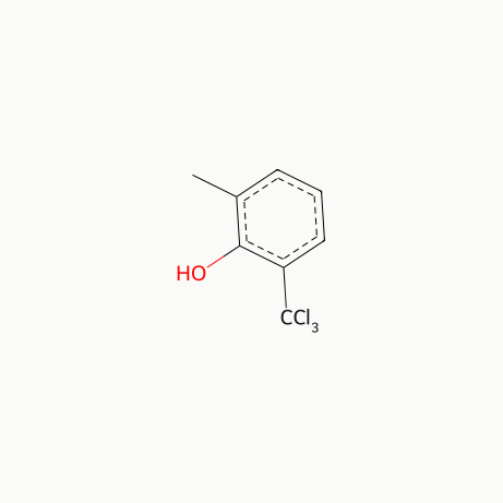 Cc1cccc(C(Cl)(Cl)Cl)c1O